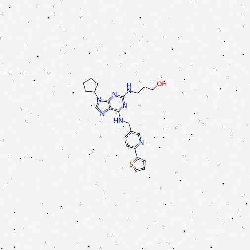 OCCCNc1nc(NCc2ccc(-c3cccs3)nc2)c2ncn(C3CCCC3)c2n1